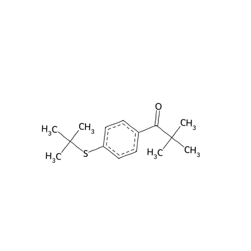 CC(C)(C)Sc1ccc(C(=O)C(C)(C)C)cc1